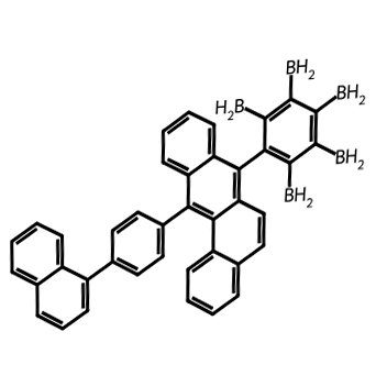 Bc1c(B)c(B)c(-c2c3ccccc3c(-c3ccc(-c4cccc5ccccc45)cc3)c3c2ccc2ccccc23)c(B)c1B